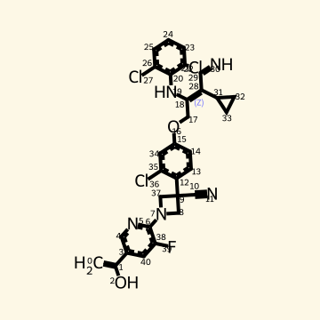 C=C(O)c1cnc(N2CC(C#N)(c3ccc(OC/C(Nc4c(Cl)cccc4Cl)=C(/C=N)C4CC4)cc3Cl)C2)c(F)c1